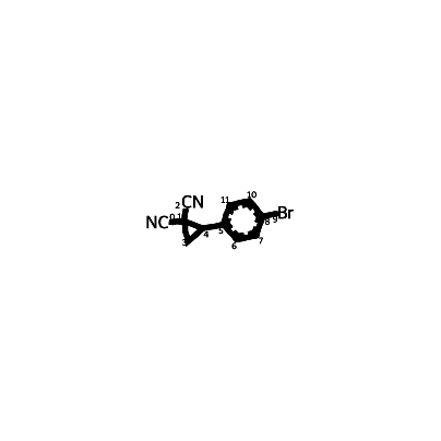 N#CC1(C#N)CC1c1ccc(Br)cc1